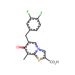 Cc1c(=O)c(Cc2ccc(F)c(F)c2)cn2cc(C(=O)O)sc12